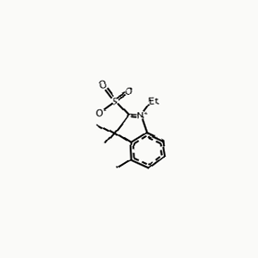 CC[N+]1=C(S(=O)(=O)[O-])C(C)(C)c2c(C)cccc21